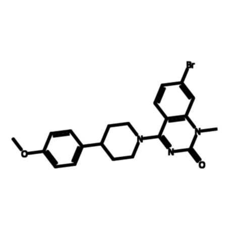 COc1ccc(C2CCN(c3nc(=O)n(C)c4cc(Br)ccc34)CC2)cc1